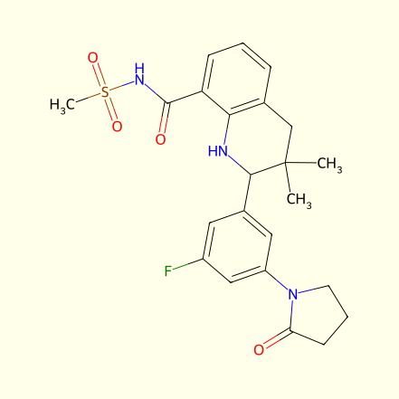 CC1(C)Cc2cccc(C(=O)NS(C)(=O)=O)c2NC1c1cc(F)cc(N2CCCC2=O)c1